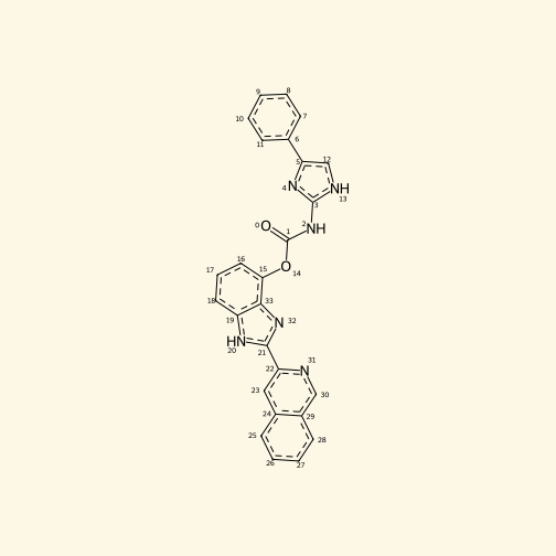 O=C(Nc1nc(-c2ccccc2)c[nH]1)Oc1cccc2[nH]c(-c3cc4ccccc4cn3)nc12